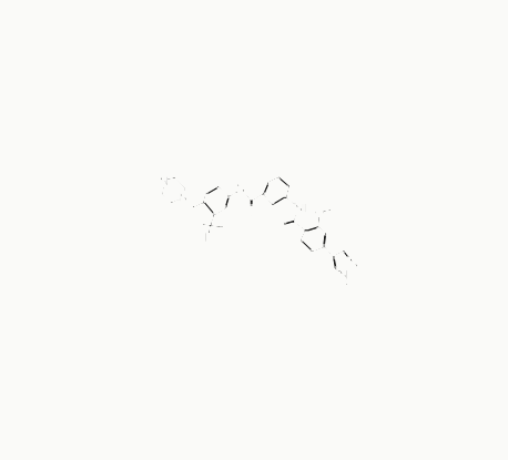 COc1cc(-c2cnn(C)c2)ccc1C(=O)Nc1cccc(C(=O)Nc2ccc(CN3CCNCC3)c(C(F)(F)F)c2)c1